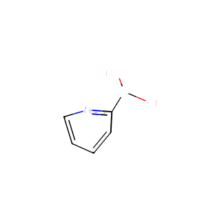 OB(O)c1ccc[c]n1